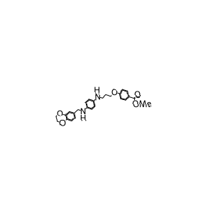 COC(=O)c1ccc(OCCCNc2ccc(NCc3ccc4c(c3)OCCO4)cc2)cc1